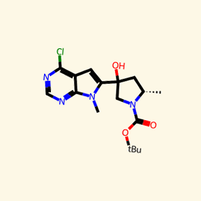 C[C@H]1CC(O)(c2cc3c(Cl)ncnc3n2C)CN1C(=O)OC(C)(C)C